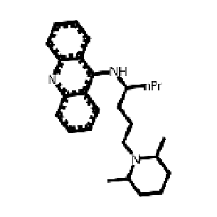 CCCC(CCCN1C(C)CCCC1C)Nc1c2ccccc2nc2ccccc12